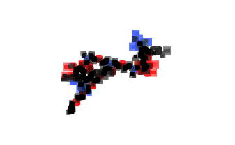 C#CCOCCOCCOCCOCCC(=O)N(CCOCCN(C)C(=O)O[C@@H]([C@@H]1OC(C(=O)O)=C[C@H](NC(=N)N)[C@H]1C)[C@H](O)CO)CCOCCN(C)C(=O)O[C@@H]([C@@H]1OC(C(=O)O)=C[C@H](NC(=N)N)[C@H]1NC(C)=O)[C@H](O)CO